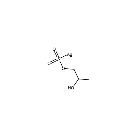 CC(O)CO[S](=O)(=O)[Ag]